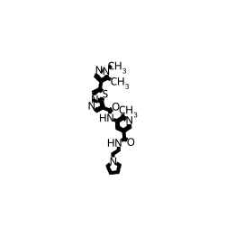 Cc1ncc(C(=O)NCCN2CCCC2)cc1NC(=O)c1cnn2cc(-c3cnn(C)c3C)sc12